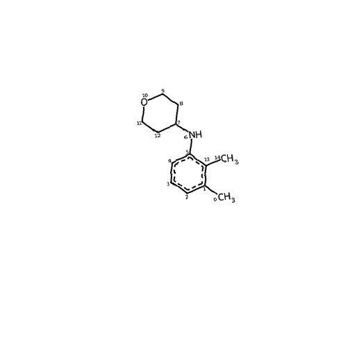 Cc1cccc(NC2CCOCC2)c1C